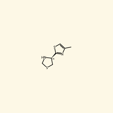 Cc1csc([C@H]2CSCN2)n1